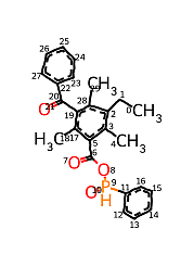 CCc1c(C)c(C(=O)O[PH](=O)c2ccccc2)c(C)c(C(=O)c2ccccc2)c1C